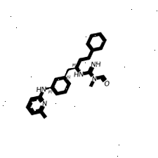 Cc1cccc(N[C@@H]2CCC[C@H](C[C@@H](CCC3CCCCC3)NC(=N)N(C)C=O)C2)n1